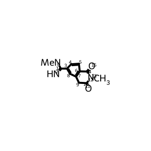 CNC(=N)c1ccc2c(c1)CC(=O)N(C)C2=O